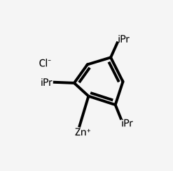 CC(C)c1cc(C(C)C)[c]([Zn+])c(C(C)C)c1.[Cl-]